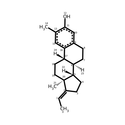 CC=C1CC[C@H]2[C@@H]3CCc4cc(O)c(C)cc4[C@H]3CC[C@]12C